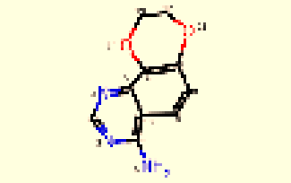 Nc1ncnc2c3c(ccc12)OCCO3